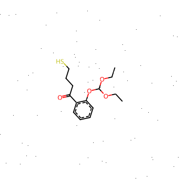 CCOC(OCC)Oc1ccccc1C(=O)CCCS